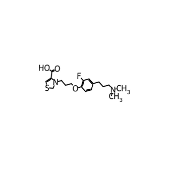 CN(C)CCCc1ccc(OCCCN2CSC=C2C(=O)O)c(F)c1